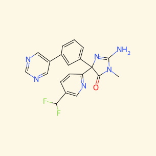 CN1C(=O)C(c2cccc(-c3cncnc3)c2)(c2ccc(C(F)F)cn2)N=C1N